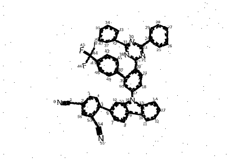 N#Cc1ccc(-c2ccc3c4ccccc4n(-c4ccc(-c5nc(-c6ccccc6)nc(-c6ccccc6)n5)c(-c5ccc(C(F)(F)F)cc5)c4)c3c2)c(C#N)c1